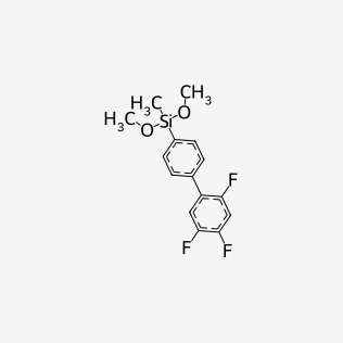 CO[Si](C)(OC)c1ccc(-c2cc(F)c(F)cc2F)cc1